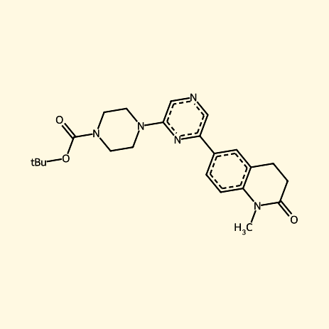 CN1C(=O)CCc2cc(-c3cncc(N4CCN(C(=O)OC(C)(C)C)CC4)n3)ccc21